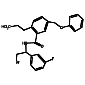 CC(C)CC(NC(=O)c1cc(COc2ccccc2)ccc1CCC(=O)O)c1cccc(F)c1